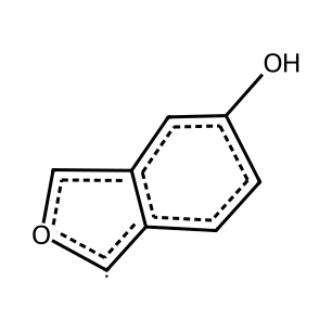 Oc1ccc2[c]occ2c1